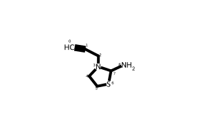 C#CCN1CCSC1N